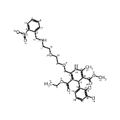 CCOC(=O)C1=C(COCCOCCNCc2ccccc2[N+](=O)[O-])NC(C)=C(C(=O)OC)C1c1cccc(Cl)c1Cl